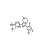 CNC(=O)C(CC(C)(C)C)NC(=O)c1nc(-c2cc(Cl)c(F)cc2F)n2c1CN(C)CCC2